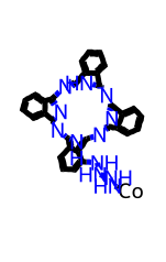 [Co][NH]NNNc1cccc2c3nc4nc(nc5[nH]c(nc6nc(nc([nH]3)c12)-c1ccccc1-6)c1ccccc51)-c1ccccc1-4